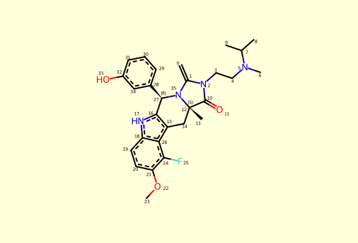 C=C1N(CCN(C)C(C)C)C(=O)[C@]2(C)Cc3c([nH]c4ccc(OC)c(F)c34)[C@@H](c3cccc(O)c3)N12